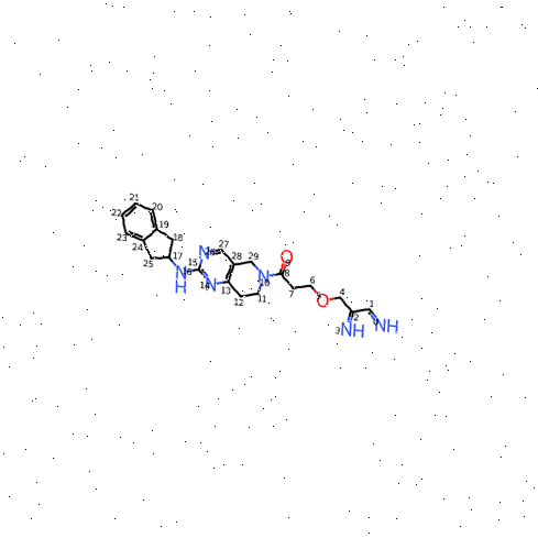 N=CC(=N)COCCC(=O)N1CCc2nc(NC3Cc4ccccc4C3)ncc2C1